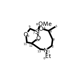 CCN1CCC(C)O[Si]2(OC)COCC(C1)O2